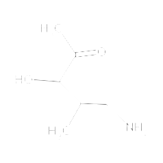 CC(=O)C(O)C(C)CN